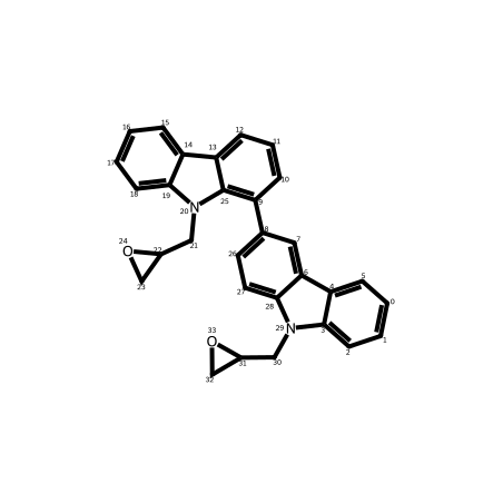 c1ccc2c(c1)c1cc(-c3cccc4c5ccccc5n(CC5CO5)c34)ccc1n2CC1CO1